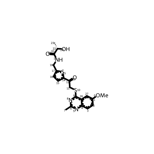 COc1ccc2nc(C)nc(SCC(=O)c3ccc(CNC(=O)[C@H](C)O)s3)c2c1